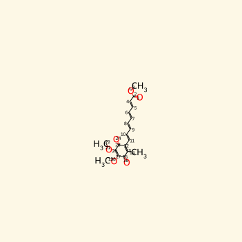 COC(=O)C=CC=CC=CC=CC1=C(C)C(=O)C(OC)=C(OC)C1=O